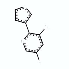 O=[N+]([O-])c1cc(Br)cnc1-c1ccsc1